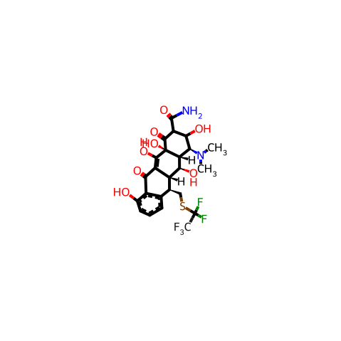 CN(C)[C@@H]1C(O)C(C(N)=O)C(=O)[C@@]2(O)C(O)=C3C(=O)c4c(O)cccc4[C@H](CSC(F)(F)C(F)(F)F)[C@H]3[C@H](O)[C@@H]12